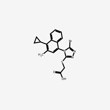 Cc1cc(-n2c(Br)nnc2SCC(=O)O)c2ccccc2c1C1CC1